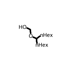 CCCCCCC(CCCCCC)OCO